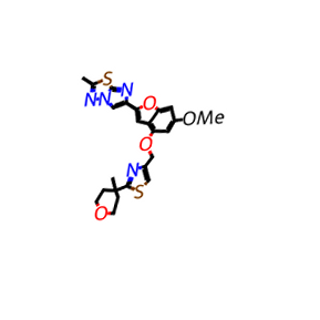 COc1cc(OCc2csc(C3(C)CCOCC3)n2)c2cc(-c3cn4nc(C)sc4n3)oc2c1